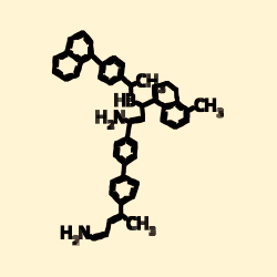 C/C(=C\C=C/N)c1ccc(-c2ccc(/C(N)=C/C(BC(C)c3ccc(-c4cccc5ccccc45)cc3)C3=CCCc4c(C)cccc43)cc2)cc1